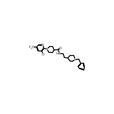 O=C(NCCC1CCN(Cc2ccccc2)CC1)C1CCN(c2ncc(C(F)(F)F)cc2Cl)CC1